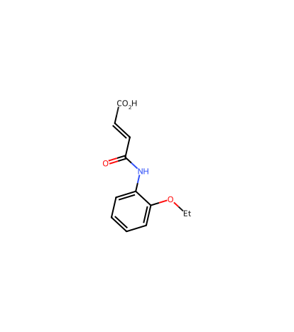 CCOc1ccccc1NC(=O)C=CC(=O)O